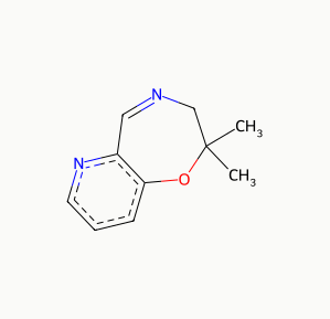 CC1(C)CN=Cc2ncccc2O1